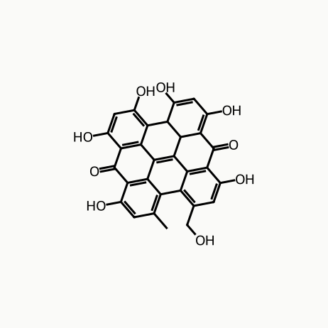 Cc1cc(O)c2c3c4c5c6c(c(O)cc(CO)c6c13)C(=O)C1=C(O)C=C(O)C(c3c(O)cc(O)c(c3-4)C2=O)C15